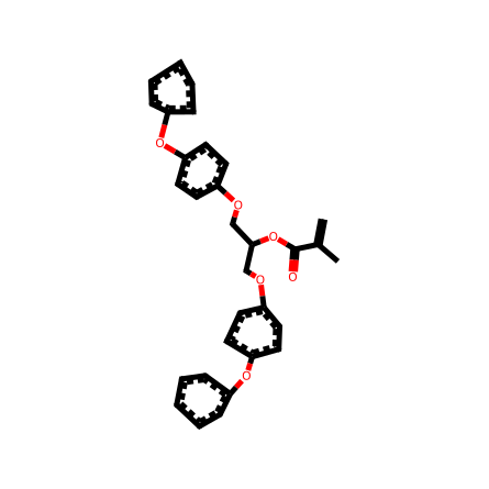 C=C(C)C(=O)OC(COc1ccc(Oc2ccccc2)cc1)COc1ccc(Oc2ccccc2)cc1